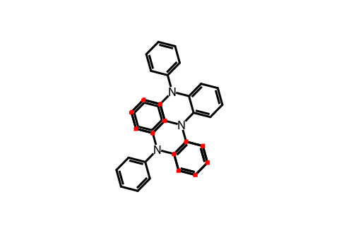 c1ccc(N(c2ccccc2)c2ccccc2N(c2ccccc2)c2ccccc2N(c2ccccc2)c2ccccc2)cc1